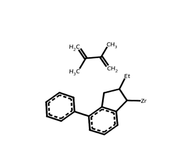 C=C(C)C(=C)C.CCC1Cc2c(-c3ccccc3)cccc2[CH]1[Zr]